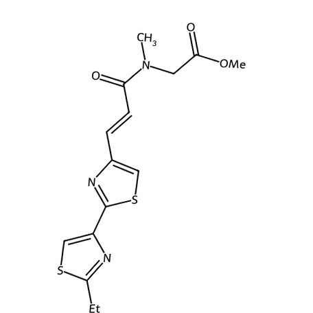 CCc1nc(-c2nc(C=CC(=O)N(C)CC(=O)OC)cs2)cs1